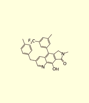 Cc1ccc(Cc2cnc3c(O)c4c(c(-c5cc(C)cc(C(F)(F)F)c5)c3c2)CN(C)C4=O)cc1